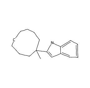 CC1(C2=Cc3ccccc3[N]2)CCCCCCCC1